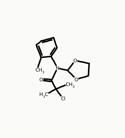 Cc1ccccc1N(C(=O)C(C)(C)Cl)C1OCCO1